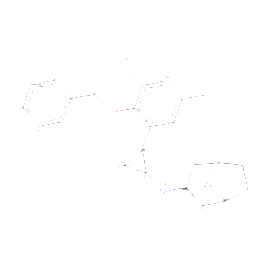 CN1C2CCC1CC(NC1CC1c1cc(F)cc(F)c1OCc1ccccc1)C2